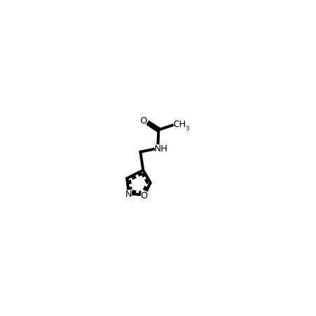 CC(=O)NCc1cnoc1